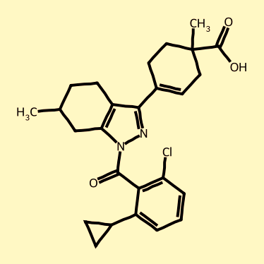 CC1CCc2c(C3=CCC(C)(C(=O)O)CC3)nn(C(=O)c3c(Cl)cccc3C3CC3)c2C1